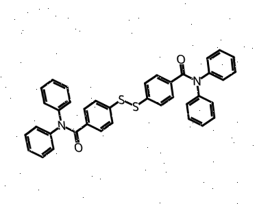 O=C(c1ccc(SSc2ccc(C(=O)N(c3ccccc3)c3ccccc3)cc2)cc1)N(c1ccccc1)c1ccccc1